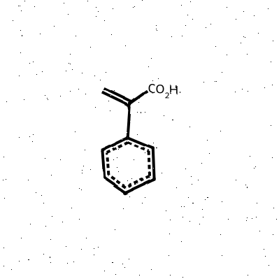 C=C(C(=O)O)c1[c]cccc1